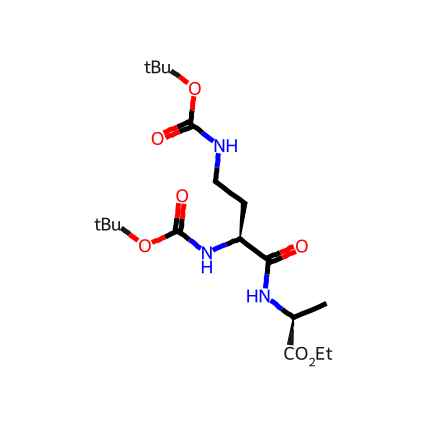 CCOC(=O)[C@H](C)NC(=O)[C@H](CCNC(=O)OC(C)(C)C)NC(=O)OC(C)(C)C